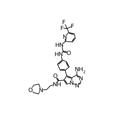 Nc1ncnn2cc(C(=O)NCCN3CCOCC3)c(-c3ccc(NC(=O)Nc4cccc(C(F)(F)F)n4)cc3)c12